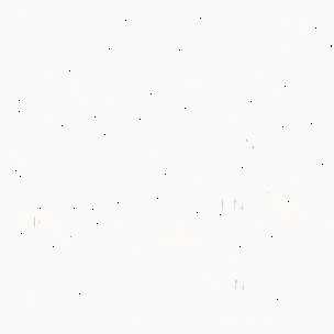 CC(C)(O)CCCOc1sncc1NC(=O)c1ccc(F)c(-c2c(F)cccc2F)n1